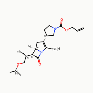 C=CCOC(=O)N1CC[C@@H](C2=C(C(=O)O)N3C(=O)[C@@H]([C@@H](CO[SiH](C)C)C(C)(C)C)[C@H]3C2)C1